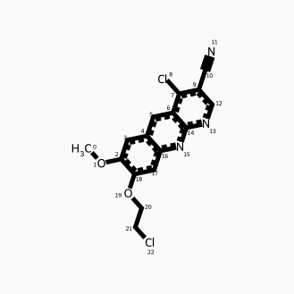 COc1cc2cc3c(Cl)c(C#N)cnc3nc2cc1OCCCl